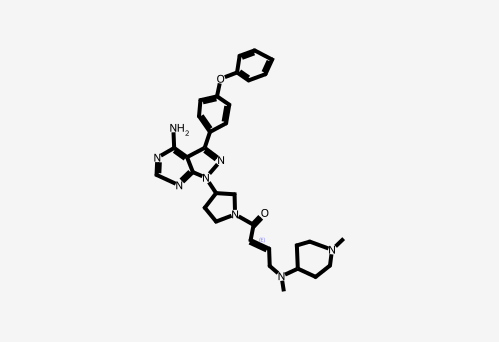 CN1CCC(N(C)C/C=C/C(=O)N2CCC(n3nc(-c4ccc(Oc5ccccc5)cc4)c4c(N)ncnc43)C2)CC1